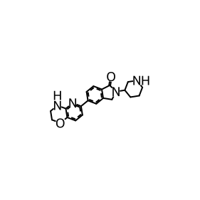 O=C1c2ccc(-c3ccc4c(n3)NCCO4)cc2CN1C1CCCNC1